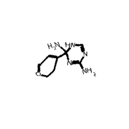 NC1=NC(N)(C2CCOCC2)NC=N1